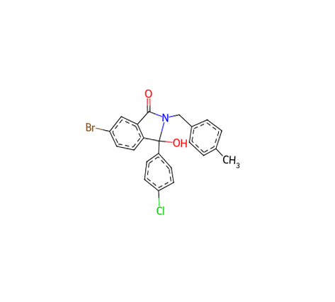 Cc1ccc(CN2C(=O)c3cc(Br)ccc3C2(O)c2ccc(Cl)cc2)cc1